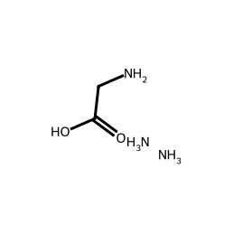 N.N.NCC(=O)O